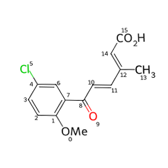 COc1ccc(Cl)cc1C(=O)C=CC(C)=CC(=O)O